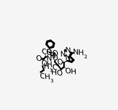 CCCCOC(=O)[C@H](C)NP(=O)(OC[C@@]1(C)O[C@@H](c2ccc3c(N)ncnn23)[C@H](O)[C@@H]1O)Oc1ccccc1